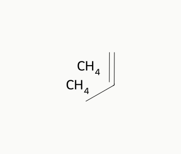 C.C.C=CC